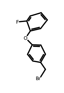 Fc1ccccc1Oc1ccc(CBr)cc1